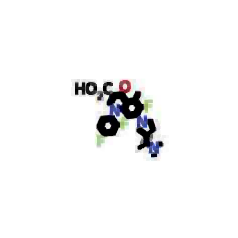 Cc1c(F)c(N2CC[C@@H]([C@H](C)N(C)C)C2)cc2c1c(=O)c(C(=O)O)cn2-c1ccc(F)cc1F